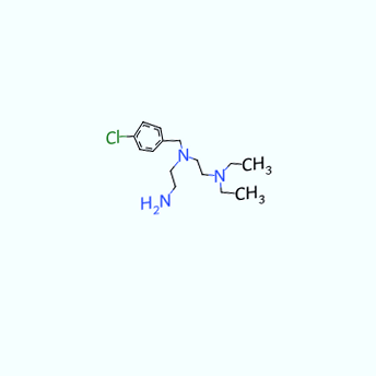 CCN(CC)CCN(CCN)Cc1ccc(Cl)cc1